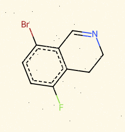 Fc1ccc(Br)c2c1CCN=C2